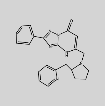 O=c1cc(CN2CCCC2Cc2ccccn2)[nH]c2nc(-c3ccccc3)nn12